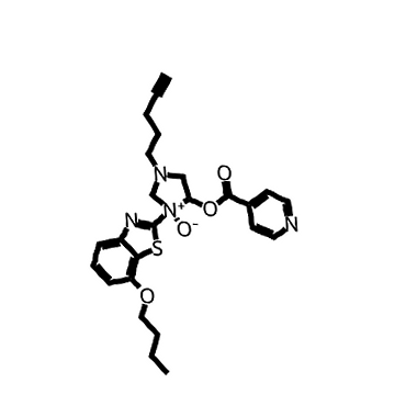 C#CCCCN1CC(OC(=O)c2ccncc2)[N+]([O-])(c2nc3cccc(OCCCC)c3s2)C1